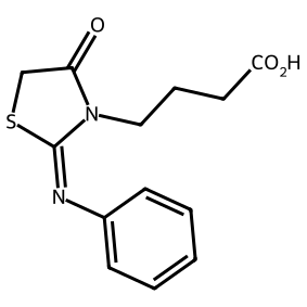 O=C(O)CCCN1C(=O)CSC1=Nc1ccccc1